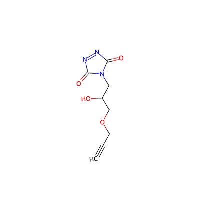 C#CCOCC(O)CN1C(=O)N=NC1=O